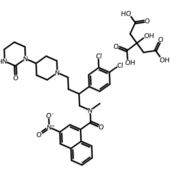 CN(CC(CCN1CCC(N2CCCNC2=O)CC1)c1ccc(Cl)c(Cl)c1)C(=O)c1cc([N+](=O)[O-])cc2ccccc12.O=C(O)CC(O)(CC(=O)O)C(=O)O